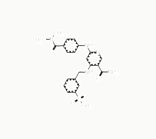 CN(C)C(=O)c1ccc(Nc2cc(NCc3cccc(S(C)(=O)=O)c3)c(C(N)=O)cn2)cc1